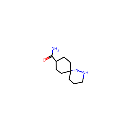 NC(=O)C1CCC2(CCCNN2)CC1